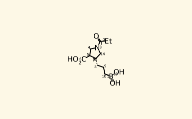 CCC(=O)N1CC(C(=O)O)[C@@H](CCCB(O)O)C1